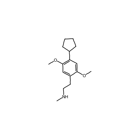 CNCCc1cc(OC)c(C2CCCC2)cc1OC